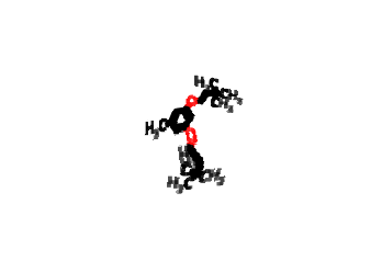 Cc1cc(OCCC(C)(C)C)cc(OCCC(C)(C)C)c1